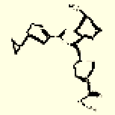 CC(C)(C)OC(=O)N1CCC([C@H](NC(=O)c2cc(C3CC3)on2)c2cccc(C(=O)O)c2)CC1